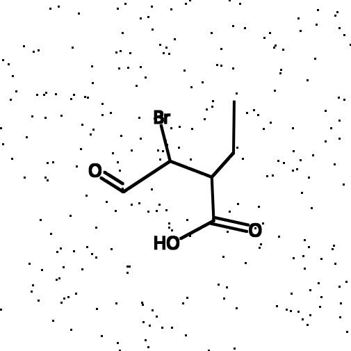 CCC(C(=O)O)C(Br)C=O